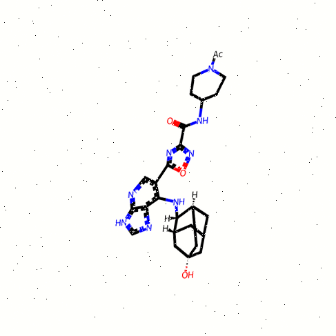 CC(=O)N1CCC(NC(=O)c2noc(-c3cnc4[nH]cnc4c3N[C@H]3[C@@H]4CC5C[C@H]3C[C@@](O)(C5)C4)n2)CC1